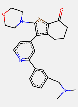 CN(C)Cc1cccc(-c2cc(-c3c(N4CCOCC4)sc4c3CCCC4=O)ccn2)c1